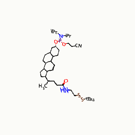 CC(C)N(C(C)C)P(OCCC#N)O[C@@H]1CCC2C(CCC3C2CCC2C3CC[C@@H]2[C@H](C)CCC(=O)NCCSSC(C)(C)C)C1